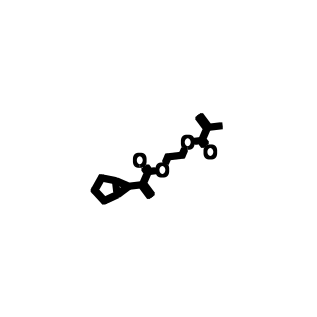 C=C(C)C(=O)OCCOC(=O)C(=C)C1C2CCCC21